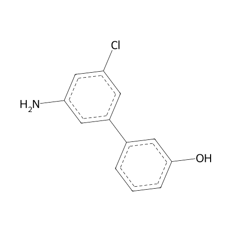 Nc1cc(Cl)cc(-c2cccc(O)c2)c1